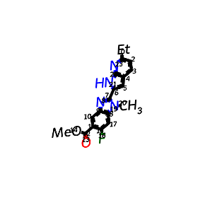 CCc1ccc2cc(-c3nc4cc(C(=O)OC)c(F)cc4n3C)[nH]c2n1